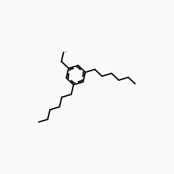 [CH2]Cc1cc(CCCCCC)cc(CCCCCC)c1